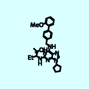 CCC(Nc1nc(NCc2ccc(-c3ccccc3OC)cc2)c2ncn(C3CCCC3)c2n1)[C@@H](C)O